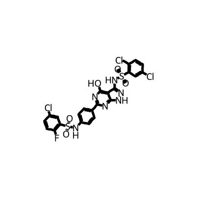 O=S(=O)(Nc1ccc(-c2nc(O)c3c(NS(=O)(=O)c4cc(Cl)ccc4Cl)n[nH]c3n2)cc1)c1cc(Cl)ccc1F